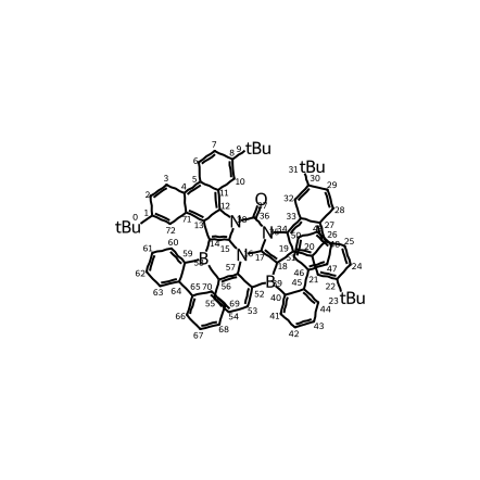 CC(C)(C)c1ccc2c3ccc(C(C)(C)C)cc3c3c(c4c5n6c7c(c8c9cc(C(C)(C)C)ccc9c9ccc(C(C)(C)C)cc9c8n7c(=O)n35)B(c3ccccc3-c3ccccc3)c3cccc(c3-6)B4c3ccccc3-c3ccccc3)c2c1